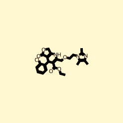 CCOC(=O)C1=C(COCCn2c(C)nc(C)c2C)NC2=C(C(=O)OC2)C1c1ccccc1Cl